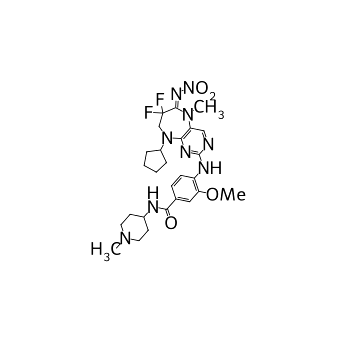 COc1cc(C(=O)NC2CCN(C)CC2)ccc1Nc1ncc2c(n1)N(C1CCCC1)CC(F)(F)C(=N[N+](=O)[O-])N2C